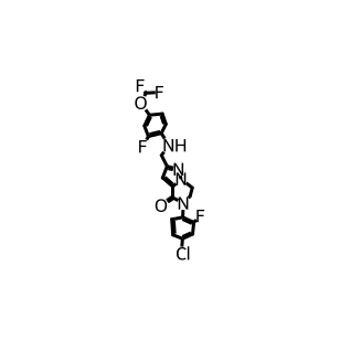 O=C1c2cc(CNc3ccc(OC(F)F)cc3F)nn2CCN1c1ccc(Cl)cc1F